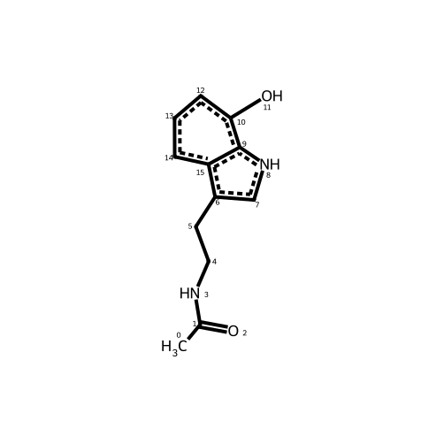 CC(=O)NCCc1c[nH]c2c(O)cccc12